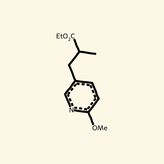 CCOC(=O)C(C)Cc1ccc(OC)nc1